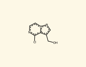 OCc1cnn2ccnc(Cl)c12